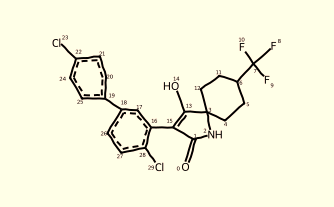 O=C1NC2(CCC(C(F)(F)F)CC2)C(O)=C1c1cc(-c2ccc(Cl)cc2)ccc1Cl